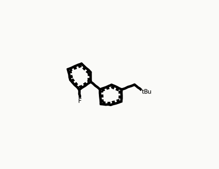 CC(C)(C)Cc1cccc(-c2ccccc2F)c1